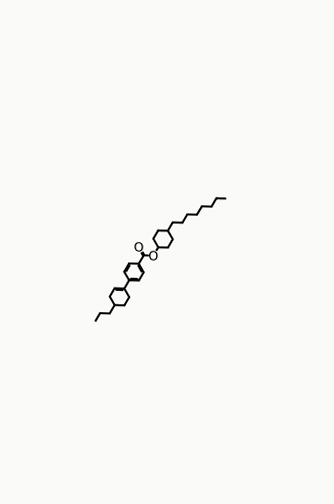 CCCCCCCCC1CCC(OC(=O)c2ccc(C3=CCC(CCC)CC3)cc2)CC1